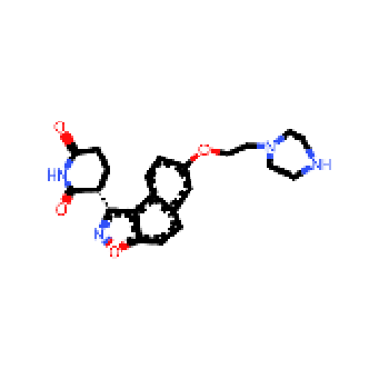 O=C1CC[C@H](c2noc3ccc4cc(OCCN5CCNCC5)ccc4c23)C(=O)N1